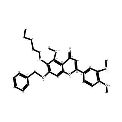 CCCCCOc1c(OCc2ccccc2)cc2oc(-c3ccc(OC)c(OC)c3)cc(=O)c2c1OC